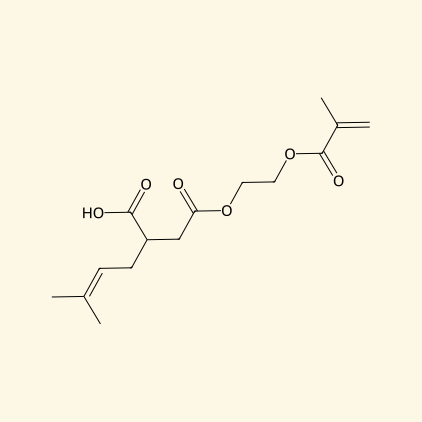 C=C(C)C(=O)OCCOC(=O)CC(CC=C(C)C)C(=O)O